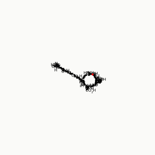 CC(C)C[C@@H]1NC(=O)[C@@H](N)CC2=CN(CCCC[C@@H](C(=O)NCCCOCCOCCOCCCNC(=O)CCCC[C@H]3SC[C@H]4NC(=O)N[C@H]43)NC(=O)C(C(C)C)NC(=O)[C@H](CCC(=O)O)NC(=O)CNC(=O)[C@H](Cc3ccc(O)cc3)NC1=O)NN2